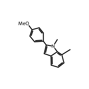 COc1ccc(-c2cc3cccc(C)c3n2C)cc1